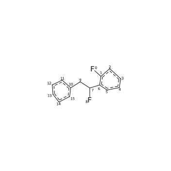 Fc1ccccc1C(F)Cc1ccccc1